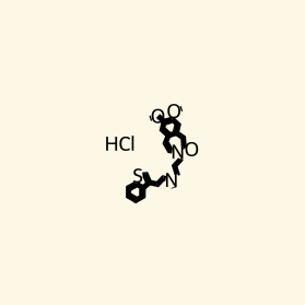 COc1cc2c(cc1OC)CC(=O)N(CCCN(C)CCc1csc3ccccc13)C=C2.Cl